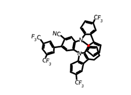 N#Cc1cc(-n2c3ccccc3c3cc(C(F)(F)F)ccc32)c(-n2c3c(c4cc(C(F)(F)F)ccc42)CCC=C3)cc1-c1cc(C(F)(F)F)cc(C(F)(F)F)c1